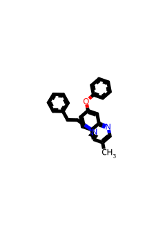 CC1=CN=C2C=C(Oc3ccccc3)C=CC23C1CCN3CCc1ccccc1